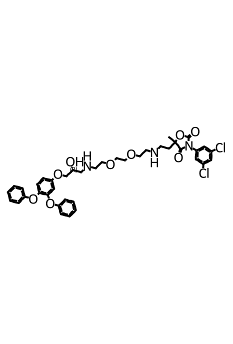 CC1(CCNCCOCCOCCNC[C@@H](O)COc2ccc(Oc3ccccc3)c(Oc3ccccc3)c2)OC(=O)N(c2cc(Cl)cc(Cl)c2)C1=O